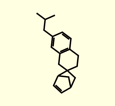 CC(C)Cc1ccc2c(c1)CC1(CC2)CC2C=CC1C2